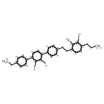 CCCc1ccc(CCc2ccc(-c3ccc(-c4ccc(CC)cc4)c(F)c3F)cc2)c(F)c1F